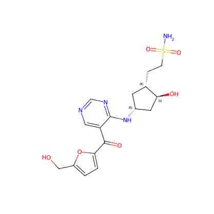 NS(=O)(=O)CC[C@H]1C[C@@H](Nc2ncncc2C(=O)c2ccc(CO)o2)C[C@@H]1O